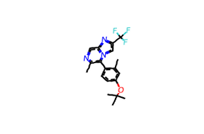 Cc1cc(OC(C)(C)C)ccc1-c1c(C)ncc2nc(C(F)(F)F)cn12